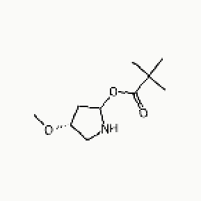 CO[C@H]1CNC(OC(=O)C(C)(C)C)C1